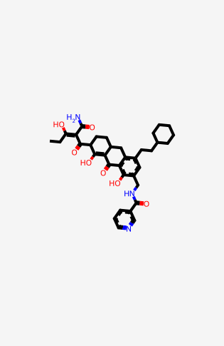 CC/C(O)=C(/C(N)=O)C(=O)C1CCC2Cc3c(CCC4CCCCC4)cc(CNC(=O)c4cccnc4)c(O)c3C(=O)C2=C1O